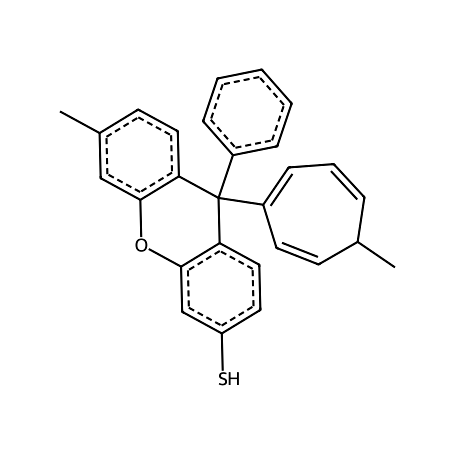 Cc1ccc2c(c1)Oc1cc(S)ccc1C2(C1=CC=CC(C)C=C1)c1ccccc1